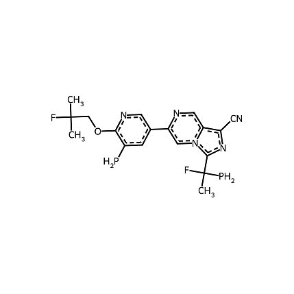 CC(C)(F)COc1ncc(-c2cn3c(C(C)(F)P)nc(C#N)c3cn2)cc1P